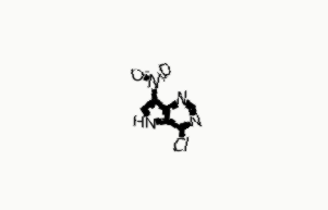 O=[N+]([O-])c1c[nH]c2c(Cl)ncnc12